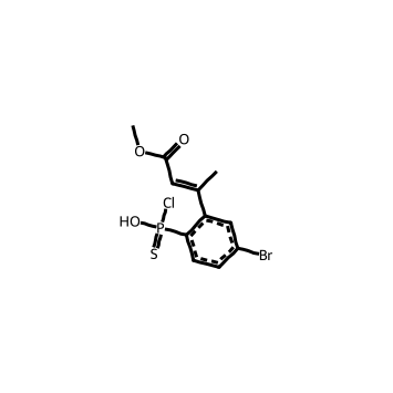 COC(=O)C=C(C)c1cc(Br)ccc1P(O)(=S)Cl